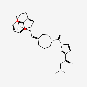 CN1CC/C=C(\c2c(Cl)cccc2C/C=C2/CCCN(C(=O)n3ccc(C(=N)C[S+](C)[O-])n3)CC2)CCC1